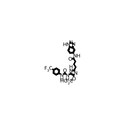 O=C(CCCc1nc(OC(=O)O)c(NC(=O)Nc2ccc(C(F)(F)F)cc2)[nH]1)Nc1ccc2[nH]nnc2c1